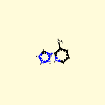 Cc1cccnc1.c1nnn[nH]1